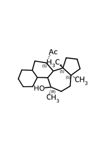 CC(=O)[C@H]1CC2CCCCC2C2C1[C@]1(C)CCC[C@@]1(C)CC[C@@]2(C)O